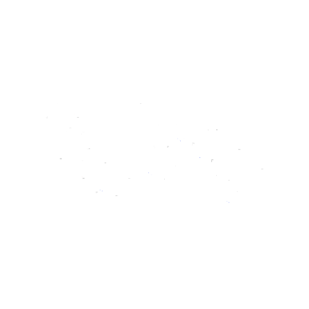 CCCCN(C(=O)Nc1cc(C(N)=O)c(F)cc1Cl)C1CCN(Cc2ccc(Oc3ccc(S(C)(=O)=O)cc3)nc2)CC1